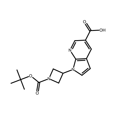 CC(C)(C)OC(=O)N1CC(n2ccc3cc(C(=O)O)cnc32)C1